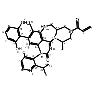 C=CC(=O)N1CC(C)N2c3nc(=O)n(-c4c(C)ccnc4C(C)C)c4c(F)c(-c5c(O)cccc5O)c(Cl)c(c34)NCC2C1